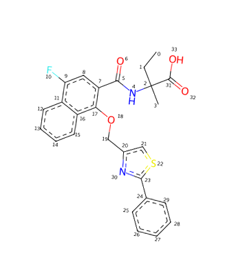 CCC(C)(NC(=O)c1cc(F)c2ccccc2c1OCc1csc(-c2ccccc2)n1)C(=O)O